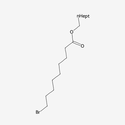 CCCCCCCCOC(=O)CCCCCCCCBr